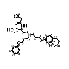 CC(C)(C)CC(=O)NC(CCN(CCCCc1ccc2c(n1)NCCC2)CCCOc1ccccc1)C(=O)O